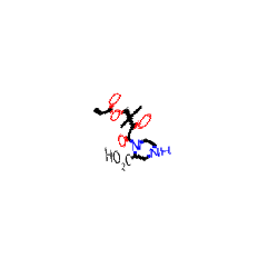 C=CC(=O)OCC(C)(C)C(=O)C(=O)N1CCNCC1C(=O)O